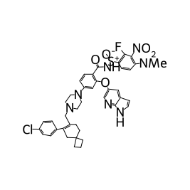 CNc1ccc([S+]([O-])NC(=O)c2ccc(N3CCN(CC4=C(c5ccc(Cl)cc5)CC5(CCC5)CC4)CC3)cc2Oc2cnc3[nH]ccc3c2)c(F)c1[N+](=O)[O-]